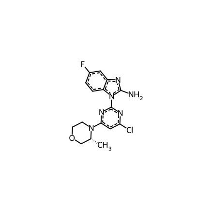 C[C@@H]1COCCN1c1cc(Cl)nc(-n2c(N)nc3cc(F)ccc32)n1